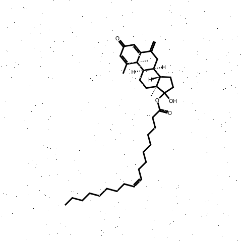 C=C1C[C@@H]2[C@@H](CC[C@@]3(C)[C@H]2CCC3(O)OC(=O)CCCCCCC/C=C\CCCCCCCC)[C@@]2(C)C(C)=CC(=O)C=C12